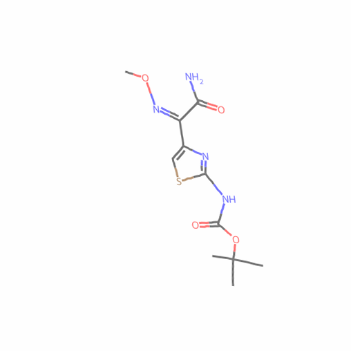 CON=C(C(N)=O)c1csc(NC(=O)OC(C)(C)C)n1